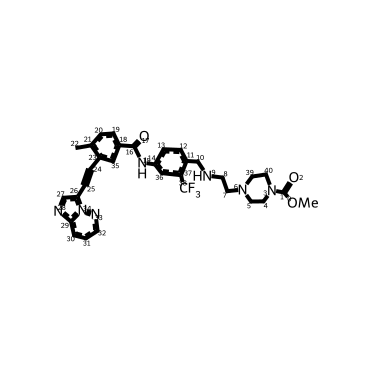 COC(=O)N1CCN(CCNCc2ccc(NC(=O)c3ccc(C)c(C#Cc4cnc5cccnn45)c3)cc2C(F)(F)F)CC1